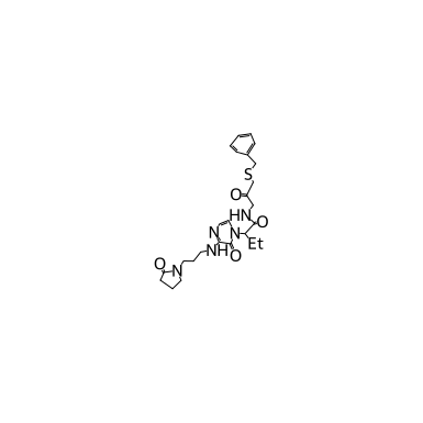 CCC(C(=O)NCC(=O)CSCc1ccccc1)n1ccnc(NCCCN2CCCC2=O)c1=O